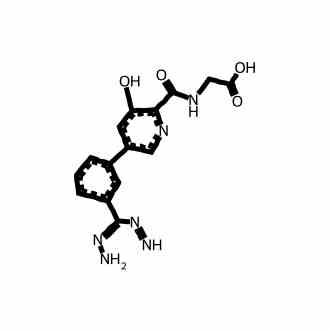 N=N/C(=N\N)c1cccc(-c2cnc(C(=O)NCC(=O)O)c(O)c2)c1